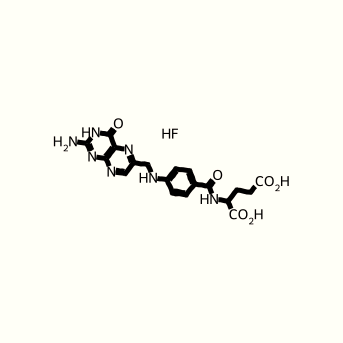 F.Nc1nc2ncc(CNc3ccc(C(=O)NC(CCC(=O)O)C(=O)O)cc3)nc2c(=O)[nH]1